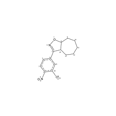 O=[N+]([O-])c1ccc(C2=NOC3CCCCCC23)cc1C(F)(F)F